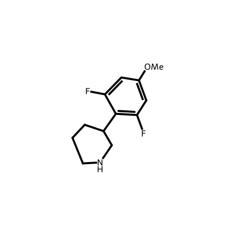 COc1cc(F)c(C2CCCNC2)c(F)c1